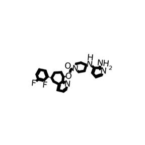 Nc1ncccc1NC1CCN(C(=O)O[C@@H]2CC[C@@H](c3cccc(F)c3F)Cc3cccnc32)CC1